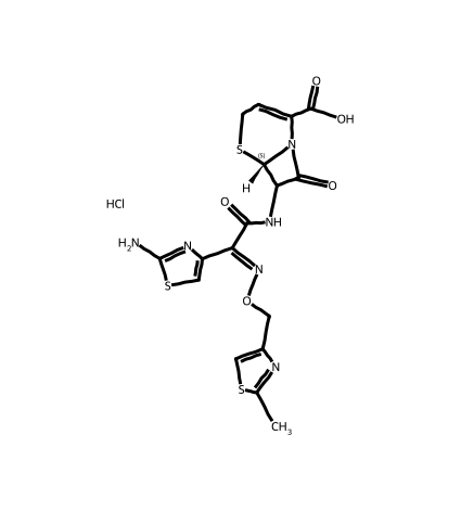 Cc1nc(CON=C(C(=O)NC2C(=O)N3C(C(=O)O)=CCS[C@@H]23)c2csc(N)n2)cs1.Cl